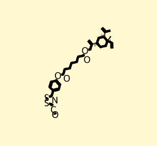 C=C[C@]1(C)CC[C@@H](C(=C)COC(=O)CCCCCC(=O)Oc2ccc(C3=NC(=C=O)SS3)cc2)C[C@H]1C(=C)C